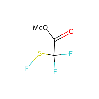 COC(=O)C(F)(F)SF